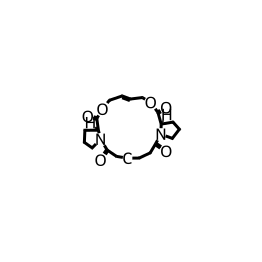 O=C1OC/C=C/COC(=O)[C@H]2CCCN2C(=O)CCCCC(=O)N2CCC[C@H]12